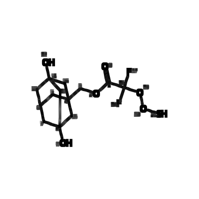 O=C(OCC12CC3CC(O)(CC(O)(C3)C1)C2)C(F)(F)OOS